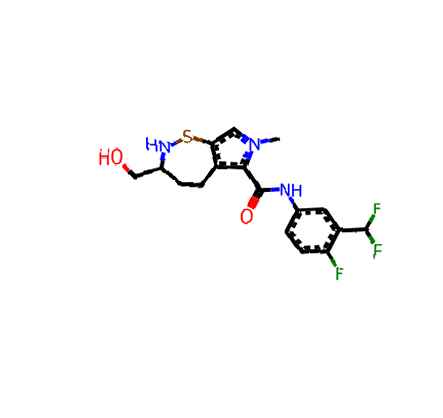 Cn1cc2c(c1C(=O)Nc1ccc(F)c(C(F)F)c1)CCC(CO)NS2